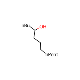 CCCCCCCCC(O)CCCC